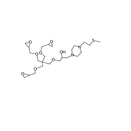 CSCCN1CCN(CC(O)COCC(COCC2CO2)(COCC2CO2)COCC2CO2)CC1